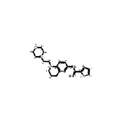 N=C(Nc1ccc2c(c1)CCCN2CCN1CCOCC1)c1cccs1